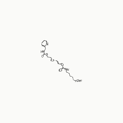 CCCCCCCCCCCCCCCNC(=O)OCCOCCOC(=O)NCc1ccccn1